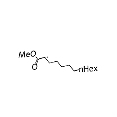 CCCCCCCCCCC[CH]C(=O)OC